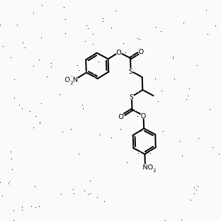 CC(CSC(=O)Oc1ccc([N+](=O)[O-])cc1)SC(=O)Oc1ccc([N+](=O)[O-])cc1